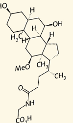 CO[C@H]1C[C@H]2[C@@H]([C@H](O)C[C@@H]3C[C@H](O)CC[C@@]32C)[C@@H]2CC[C@H]([C@H](C)CCC(=O)NCC(=O)O)[C@@]12C